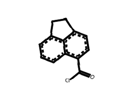 O=C(Cl)c1ccc2c3c(cccc13)CC2